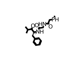 CPCC(=O)NCC(=O)N[C@@H](Cc1ccccc1)C(=O)C(C)C